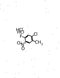 Cc1cc([N+](=O)[O-])c(F)cc1Cl.Cl.Cl